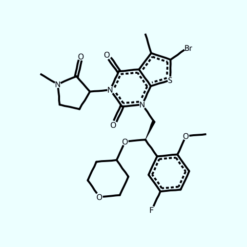 COc1ccc(F)cc1[C@H](Cn1c(=O)n(C2CCN(C)C2=O)c(=O)c2c(C)c(Br)sc21)OC1CCOCC1